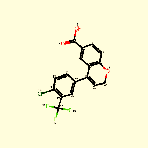 O=C(O)c1ccc2c(c1)C(c1ccc(Cl)c(C(F)(F)F)c1)=CCO2